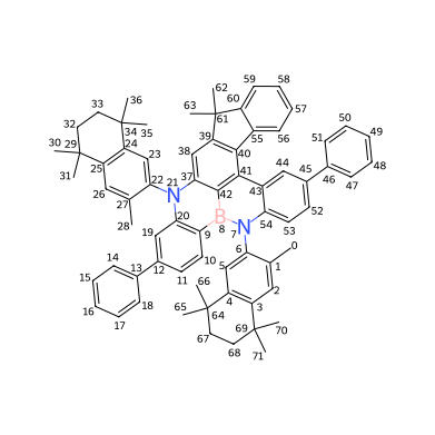 Cc1cc2c(cc1N1B3c4ccc(-c5ccccc5)cc4N(c4cc5c(cc4C)C(C)(C)CCC5(C)C)c4cc5c(c(c43)-c3cc(-c4ccccc4)ccc31)-c1ccccc1C5(C)C)C(C)(C)CCC2(C)C